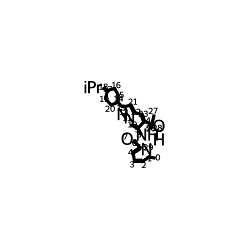 Cc1cccc(C(=O)Nc2cn3nc(C4CCC(C(C)C)CC4)cc3cc2C(C)(C)O)n1